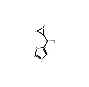 CC(c1cnco1)C1CS1